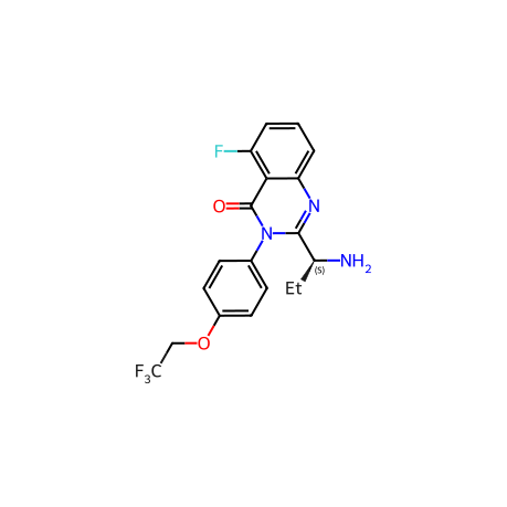 CC[C@H](N)c1nc2cccc(F)c2c(=O)n1-c1ccc(OCC(F)(F)F)cc1